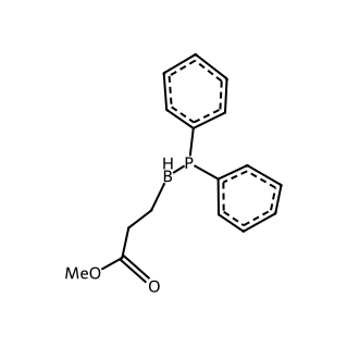 COC(=O)CCBP(c1ccccc1)c1ccccc1